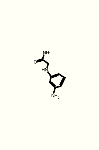 [NH]C(=O)CNc1cccc(N)c1